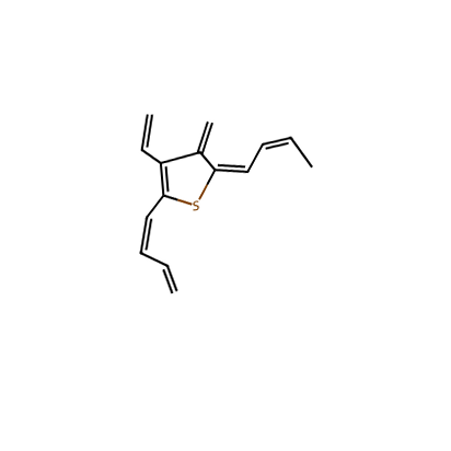 C=C/C=C\c1s/c(=C/C=C\C)c(=C)c1C=C